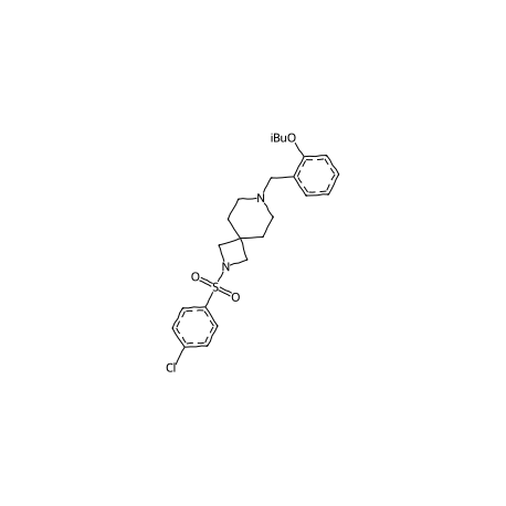 CC(C)COc1ccccc1CN1CCC2(CC1)CN(S(=O)(=O)c1ccc(Cl)cc1)C2